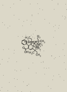 CCC(C)(C)C1=CC(C(=O)O)=C(c2ccccc2)C(C(C)(C)CC)C1(O)C(C)(C)CC(C)(C)C